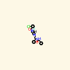 O=C(Cc1ccccc1)NC(CCN1CC2CN(C(=O)c3c(F)cccc3Cl)C[C@@H]2C1)c1ccccc1